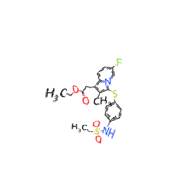 CCOC(=O)Cc1c(C)c(Sc2ccc(NS(=O)(=O)CC)cc2)n2cc(F)ccc12